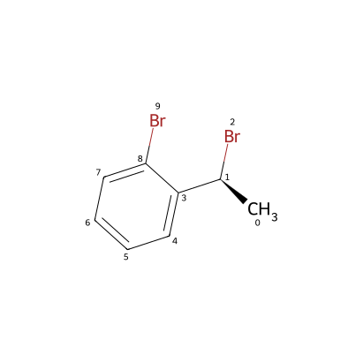 C[C@H](Br)c1ccccc1Br